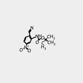 CC(C)(C)OC(=O)Nc1cc([N+](=O)[O-])ccc1C#N